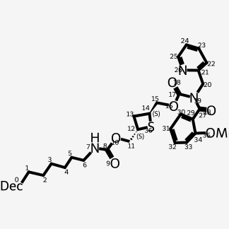 CCCCCCCCCCCCCCCCNC(=O)OC[C@@H]1C[C@@H](COC(=O)N(Cc2ccccn2)C(=O)c2ccccc2OC)S1